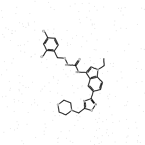 CCn1cc(NC(=O)NOCc2ccc(Cl)cc2Cl)c2cc(-c3noc(CN4CCOCC4)n3)ccc21